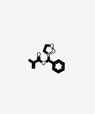 C=C(C)C(=O)OC(B1CCOO1)c1ccccc1